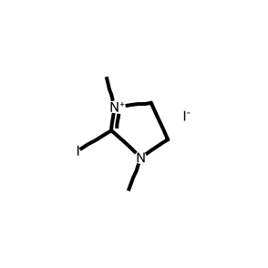 CN1CC[N+](C)=C1I.[I-]